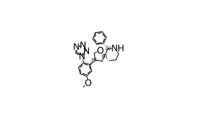 COc1ccc(-n2cnnn2)c([C@H]2CO[C@]3(CCCN[C@H]3c3ccccc3)C2)c1